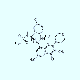 Cc1cc([C@@H](C)Nc2ccc(Cl)nc2C(=O)NS(C)(=O)=O)c2nc(N3CCOC[C@H]3C)n(C)c(=O)c2c1